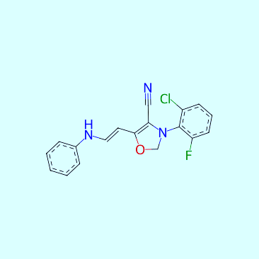 N#CC1=C(C=CNc2ccccc2)OCN1c1c(F)cccc1Cl